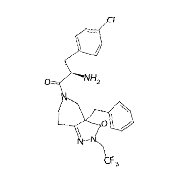 N[C@H](Cc1ccc(Cl)cc1)C(=O)N1CCC2=NN(CC(F)(F)F)C(=O)C2(Cc2ccccc2)C1